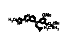 COc1cc(CO[Si](C)(C)C(C)(C)C)cc(N(CC2CC2)c2ccc3ncc(-c4cnn(C)c4)nc3c2)c1